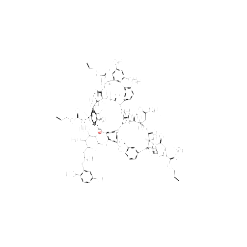 C=CCOC(=O)NC1(C)CC(OC2C(Oc3c4cc5cc3Oc3ccc(cc3Cl)[C@@H](O)[C@@H](NC(=O)[C@H](CC(C)C)N(C)C(=O)OCC=C)C(=O)N[C@@H](CC(N)=O)C(=O)NC5C(=O)NC3C(=O)N[C@H](C(=O)N[C@@H](C(=O)OCC=C)c5cc(O)cc(O)c5-c5cc3ccc5O)[C@H](O)c3ccc(c(Cl)c3)O4)OC(CNCc3cc(Cl)ccc3O)C(O)C2O)OC(C)C1O